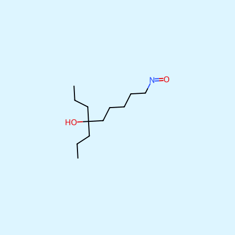 CCCC(O)(CCC)CCCCCN=O